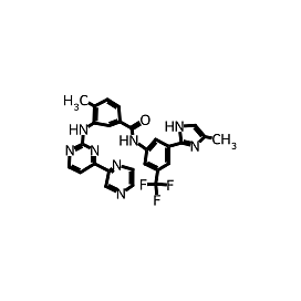 Cc1c[nH]c(-c2cc(NC(=O)c3ccc(C)c(Nc4nccc(-c5cnccn5)n4)c3)cc(C(F)(F)F)c2)n1